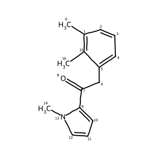 Cc1cccc(CC(=O)c2cccn2C)c1C